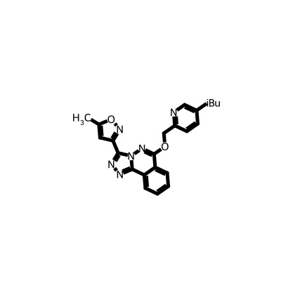 CCC(C)c1ccc(COc2nn3c(-c4cc(C)on4)nnc3c3ccccc23)nc1